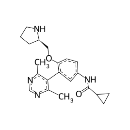 Cc1ncnc(C)c1-c1cc(NC(=O)C2CC2)ccc1OC[C@H]1CCCN1